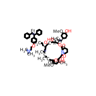 C=CC[C@@H]1/C=C(\C)C[C@H](C)C[C@H](OC)[C@H]2O[C@@](O)(C(=O)C(=O)N3CCCC[C@H]3C(=O)O[C@H](/C(C)=C/[C@@H]3CC[C@@H](O)[C@H](OC)C3)[C@H](C)[C@@H](O)CC1=O)[C@H](C)C[C@@H]2OC.CC/C(=C(\c1ccccc1)c1ccc(OCCN(C)C)cc1)c1ccccc1